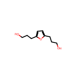 OCCCc1ccc(CCCO)o1